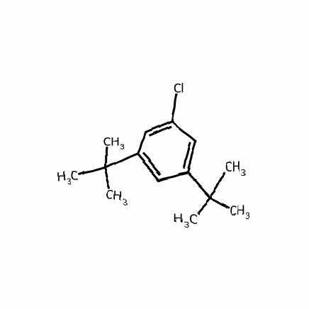 CC(C)(C)c1cc(Cl)cc(C(C)(C)C)c1